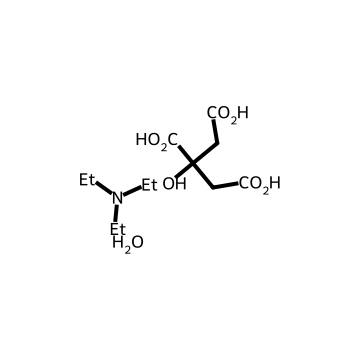 CCN(CC)CC.O.O=C(O)CC(O)(CC(=O)O)C(=O)O